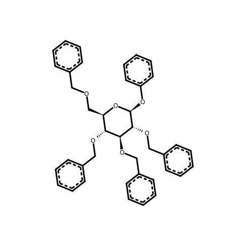 [c]1ccc(O[C@@H]2O[C@H](COCc3ccccc3)[C@@H](OCc3ccccc3)[C@H](OCc3ccccc3)[C@H]2OCc2ccccc2)cc1